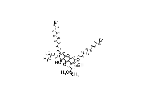 CC(C)=CCc1c(OCCCCCCCCCCBr)cc2oc3cc(OCCCCCCCCCCBr)c(CO)c(CC=C(C)C)c3c(=O)c2c1O